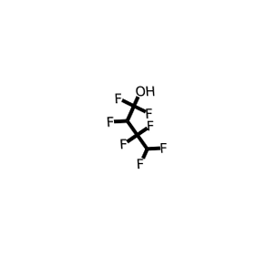 OC(F)(F)C(F)C(F)(F)C(F)F